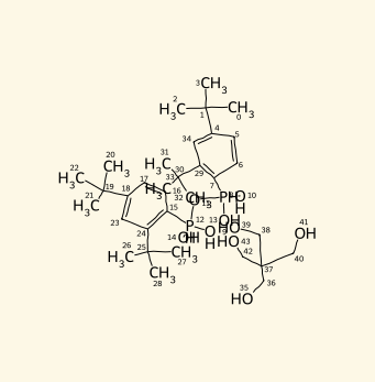 CC(C)(C)c1ccc([PH](O)(O)O[PH](O)(O)c2ccc(C(C)(C)C)cc2C(C)(C)C)c(C(C)(C)C)c1.OCC(CO)(CO)CO